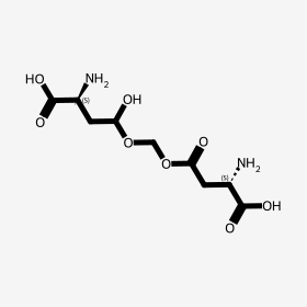 N[C@@H](CC(=O)OCOC(O)C[C@H](N)C(=O)O)C(=O)O